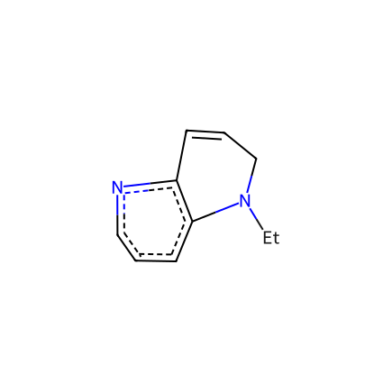 CCN1CC=Cc2ncccc21